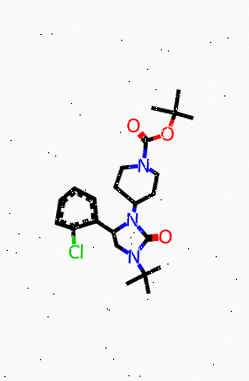 CC(C)(C)OC(=O)N1CCC(N2C(=O)N(C(C)(C)C)CC2c2ccccc2Cl)CC1